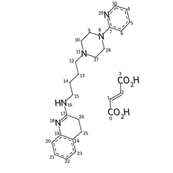 O=C(O)C=CC(=O)O.c1ccc(N2CCN(CCCCNC3=Nc4ccccc4CC3)CC2)nc1